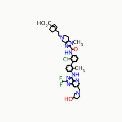 Cc1c(Nc2nc(C(F)F)nc3cc(CN4CC[C@@H](O)C4)cnc23)cccc1-c1cccc(NC(=O)c2nc3c(n2C)CCN(CCC24CCC(C(=O)O)(CC2)C4)C3)c1Cl